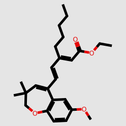 CCCCCC(C=CC1=CC(C)(C)COc2ccc(OC)cc21)=CC(=O)OCC